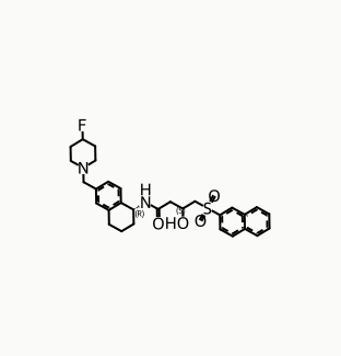 O=C(C[C@H](O)CS(=O)(=O)c1ccc2ccccc2c1)N[C@@H]1CCCc2cc(CN3CCC(F)CC3)ccc21